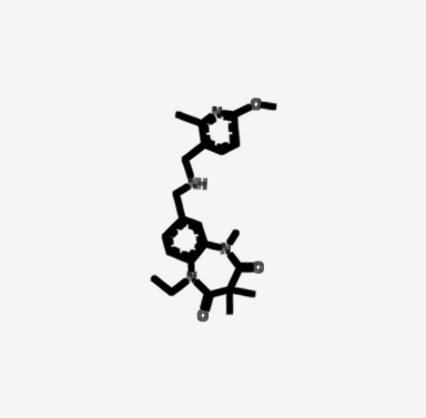 CCN1C(=O)C(C)(C)C(=O)N(C)c2cc(CNCc3ccc(OC)nc3C)ccc21